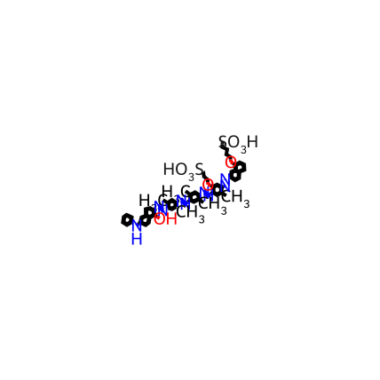 Cc1cc(N=Nc2cc(C)c(N=Nc3cc(C)c(N=Nc4ccc5cc(Nc6ccccc6)ccc5c4O)cc3C)cc2C)c(OCCCS(=O)(=O)O)cc1N=Nc1ccc2cccc(OCCCCS(=O)(=O)O)c2c1